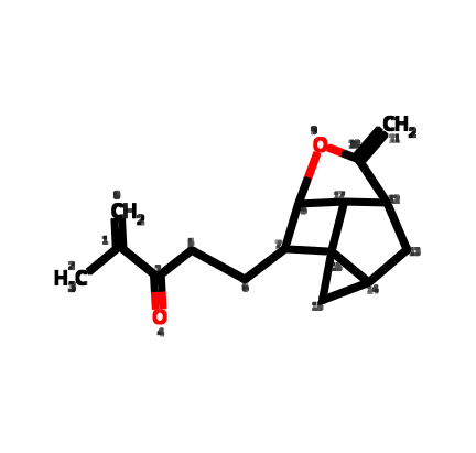 C=C(C)C(=O)CCC1C2OC(=C)C3CC4CC41C32